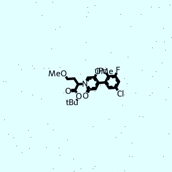 COCCC(C(=O)OC(C)(C)C)n1cc(OC)c(-c2cc(Cl)cc(F)c2C(C)C)cc1=O